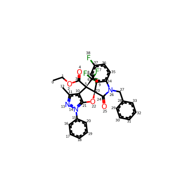 CCOC(=O)[C@@]1(C(F)(F)F)c2c(C)nn(-c3ccccc3)c2O[C@@]12C(=O)N(Cc1ccccc1)c1ccc(F)cc12